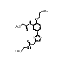 CCOC(=O)CNC(=O)Cc1csc(-c2ccc(OCCOC)c(NC(=O)COC(C)=O)c2)n1